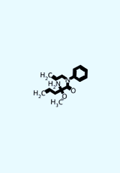 C=CCN(C(=O)C(N)(CC=C)OC)c1ccccc1